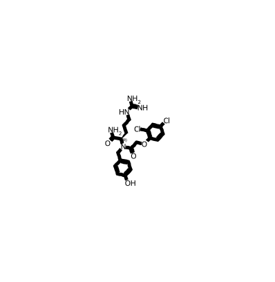 N=C(N)NCCC[C@H](C(N)=O)N(Cc1ccc(O)cc1)C(=O)COc1ccc(Cl)cc1Cl